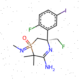 CN=S1(=O)C[C@@](CF)(c2cc(I)ccc2F)N=C(N)C1(C)C